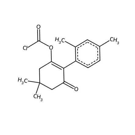 Cc1ccc(C2=C(OC(=O)Cl)CC(C)(C)CC2=O)c(C)c1